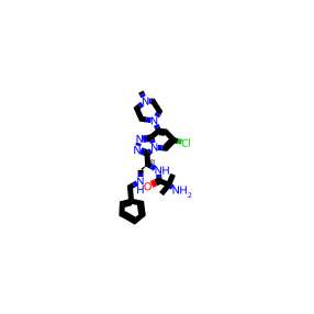 CN1CCN(c2cc(Cl)cn3c([C@@H](CNCc4ccccc4)NC(=O)C(C)(C)N)nnc23)CC1